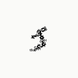 CC(C)(C)OC(=O)N[C@@H]1CCCN(Cc2ccnc(C(=O)Nc3ccc(-c4cc5c(N6CCS(=O)(=O)CC6)ncnc5n4COCC[Si](C)(C)C)cc3)c2)C1